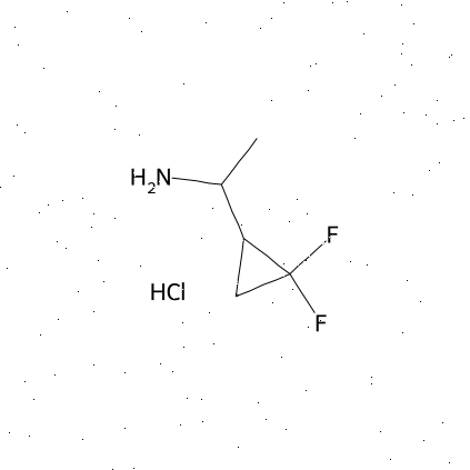 CC(N)C1CC1(F)F.Cl